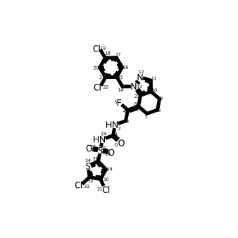 O=C(NC/C(F)=C1\CCCc2cnn(Cc3ccc(Cl)cc3Cl)c21)NS(=O)(=O)c1cc(Cl)c(Cl)s1